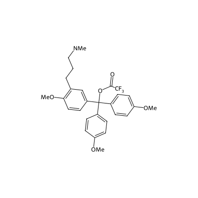 CNCCCc1cc(C(OC(=O)C(F)(F)F)(c2ccc(OC)cc2)c2ccc(OC)cc2)ccc1OC